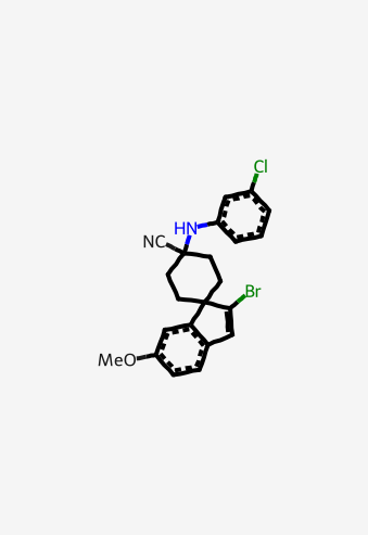 COc1ccc2c(c1)C1(CCC(C#N)(Nc3cccc(Cl)c3)CC1)C(Br)=C2